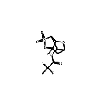 CC(F)(F)C(=O)OC1C2CC3(C)OS(=O)(=O)C1C3O2